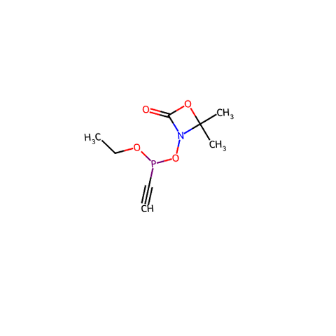 C#CP(OCC)ON1C(=O)OC1(C)C